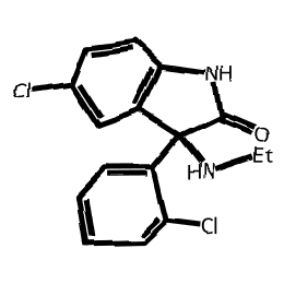 CCNC1(c2ccccc2Cl)C(=O)Nc2ccc(Cl)cc21